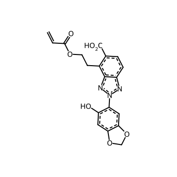 C=CC(=O)OCCc1c(C(=O)O)ccc2nn(-c3cc4c(cc3O)OCO4)nc12